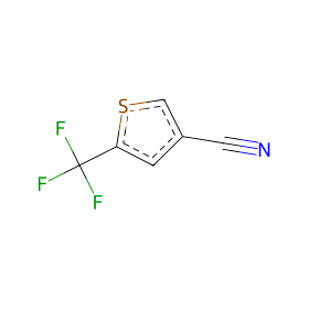 N#Cc1csc(C(F)(F)F)c1